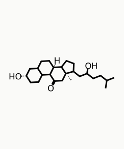 CC(C)CCC(O)CC1CCC2[C@@H]3CCC4C[C@@H](O)CCC4C3C(=O)C[C@]12C